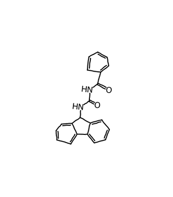 O=C(NC(=O)c1ccccc1)NC1c2ccccc2-c2ccccc21